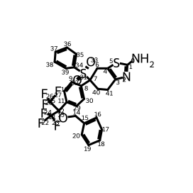 Nc1nc2c(s1)CC(c1ccc(C(OCc3ccccc3)(C(F)(F)F)C(F)(F)F)cc1)(S(=O)(=O)c1ccccc1)CC2